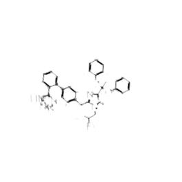 CCC(CC)Cn1nc(C(C)(Oc2ccccc2)Oc2ccccc2)nc1Cc1ccc(-c2ccccc2-c2nnn[nH]2)cc1